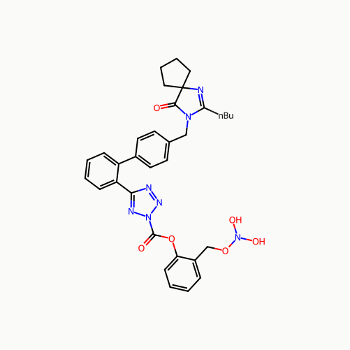 CCCCC1=NC2(CCCC2)C(=O)N1Cc1ccc(-c2ccccc2-c2nnn(C(=O)Oc3ccccc3CON(O)O)n2)cc1